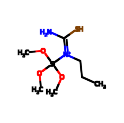 CCC[N+](=C(N)S)[Si](OC)(OC)OC